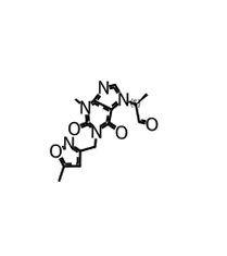 Cc1cc(Cn2c(=O)c3c(ncn3[C@@H](C)C=O)n(C)c2=O)no1